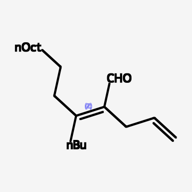 C=CC/C(C=O)=C(\CCCC)CCCCCCCCCC